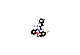 COc1ccccc1CN1Cc2ccccc2N=C1C(N)Cc1ccccc1.Cl